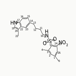 Cc1cc(C)c(S(=O)(=O)NCCCCc2ccc3[nH]cc(C)c3c2)c([N+](=O)[O-])c1